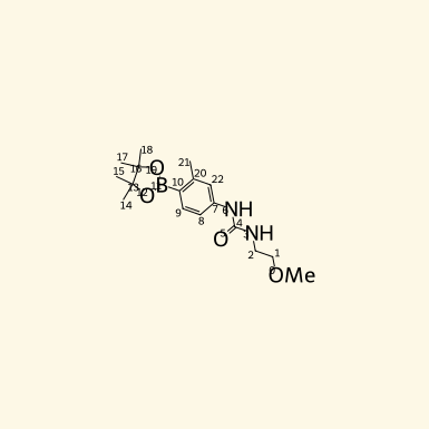 COCCNC(=O)Nc1ccc(B2OC(C)(C)C(C)(C)O2)c(C)c1